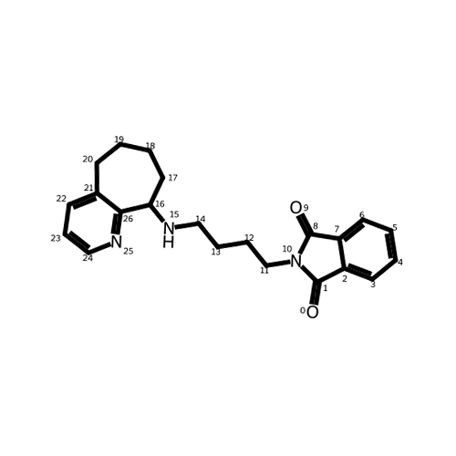 O=C1c2ccccc2C(=O)N1CCCCNC1CCCCc2cccnc21